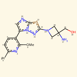 COc1nc(C(C)C)ccc1-c1cnc2sc(N3CC(N)(CO)C3)nn12